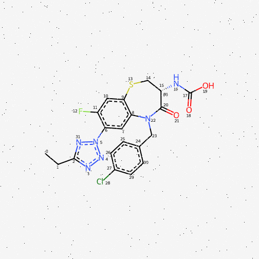 CCc1nnn(-c2cc3c(cc2F)SC[C@H](NC(=O)O)C(=O)N3Cc2ccc(Cl)cc2)n1